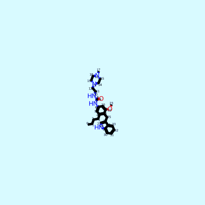 CCCCc1cc(NC(=O)NCCN2CCN(C)CC2)cc(OC)c1Cc1c[nH]c2ccccc12